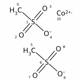 CS(=O)(=O)[O-].CS(=O)(=O)[O-].[Co+2]